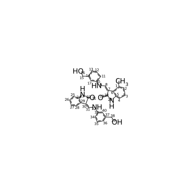 Cc1cccc2c1C(=CNc1cccc(CO)c1)C(=O)N2.O=C1Nc2ccccc2C1=CNc1cccc(CO)c1